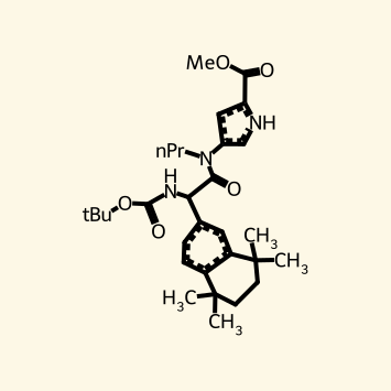 CCCN(C(=O)C(NC(=O)OC(C)(C)C)c1ccc2c(c1)C(C)(C)CCC2(C)C)c1c[nH]c(C(=O)OC)c1